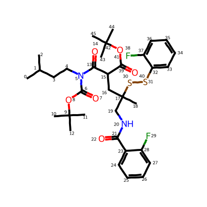 CC(C)CCN(C(=O)OC(C)(C)C)C(=O)C(CC(C)(CNC(=O)c1ccccc1F)SSc1ccccc1F)C(=O)OC(C)(C)C